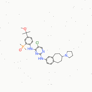 COC(C)(C)c1ccc(Nc2nc(Nc3ccc4c(c3)CCC(N3CCCC3)CC4)ncc2Cl)c(P(C)(C)=O)c1